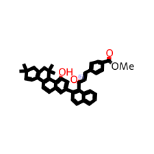 COC(=O)c1ccc(/C=C/C(=O)c2c(-c3cc(O)c4c5c(ccc4c3)C3=C(CC(C)(C)C=C3)CC5(C)C)ccc3ccccc23)cc1